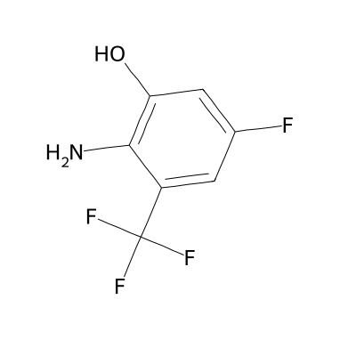 Nc1c(O)cc(F)cc1C(F)(F)F